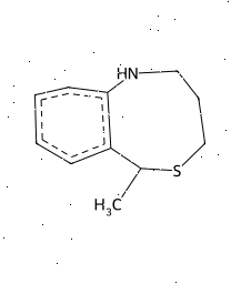 CC1SCCCNc2ccccc21